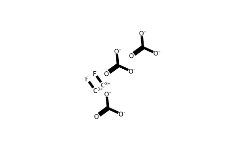 O=C([O-])[O-].O=C([O-])[O-].O=C([O-])[O-].[C+3]F.[C+3]F